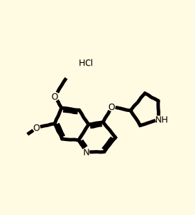 COc1cc2nccc(OC3CCNC3)c2cc1OC.Cl